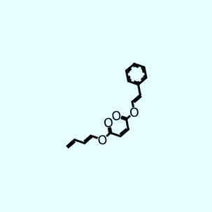 C=CC=COC(=O)/C=C\C(=O)OC=Cc1ccccc1